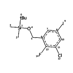 CC(C)(C)[Si](C)(C)OCc1cc(I)cc(Cl)c1F